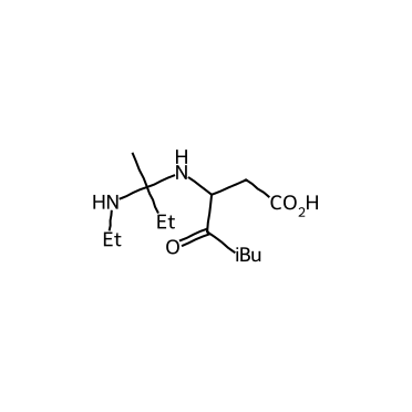 CCNC(C)(CC)NC(CC(=O)O)C(=O)C(C)CC